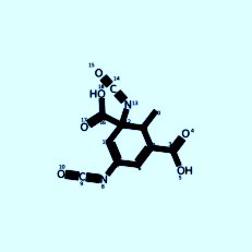 CC1C(C(=O)O)=CC(N=C=O)=CC1(N=C=O)C(=O)O